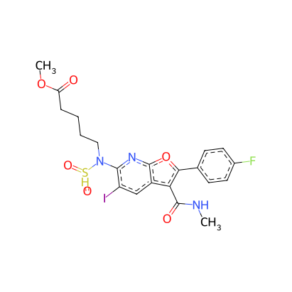 CNC(=O)c1c(-c2ccc(F)cc2)oc2nc(N(CCCCC(=O)OC)[SH](=O)=O)c(I)cc12